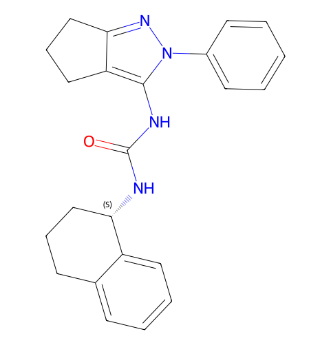 O=C(Nc1c2c(nn1-c1ccccc1)CCC2)N[C@H]1CCCc2ccccc21